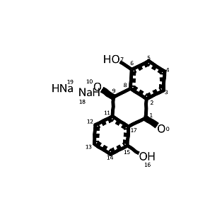 O=C1c2cccc(O)c2C(=O)c2cccc(O)c21.[NaH].[NaH]